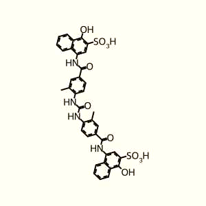 Cc1cc(C(=O)Nc2cc(S(=O)(=O)O)c(O)c3ccccc23)ccc1NC(=O)Nc1ccc(C(=O)Nc2cc(S(=O)(=O)O)c(O)c3ccccc23)cc1C